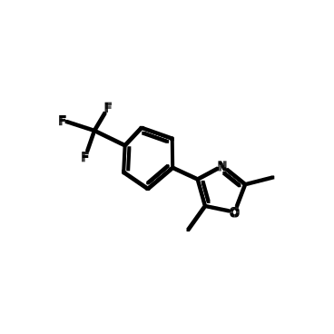 Cc1nc(-c2ccc(C(F)(F)F)cc2)c(C)o1